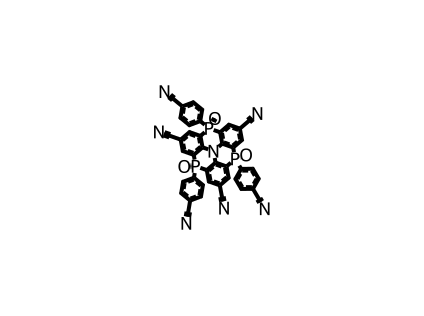 N#Cc1ccc(P2(=O)c3cc(C#N)cc4c3N3c5c2cc(C#N)cc5P(=O)(c2ccc(C#N)cc2)c2cc(C#N)cc(c23)P4(=O)c2ccc(C#N)cc2)cc1